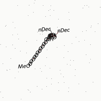 CCCCCCCCCCCCCCCCCC(=O)OCC(COP(=O)(O)OCCNC(=O)CCOCCOCCOCCOCCOCCOCCOCCOCCOCCOCCOCCOC)OC(=O)CCCCCCCCCCCCCCCCC